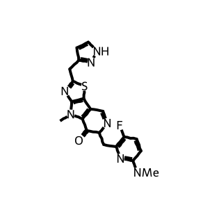 CNc1ccc(F)c(CC2N=Cc3c(n(C)c4nc(Cc5cc[nH]n5)sc34)C2=O)n1